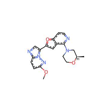 COc1ccc2ncc(-c3cc4c(N5CCO[C@H](C)C5)nccc4o3)n2n1